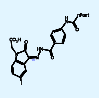 CCCCCC(=O)Nc1ccc(C(=O)N/N=C2\C(=O)N(CC(=O)O)c3ccc(I)cc32)cc1